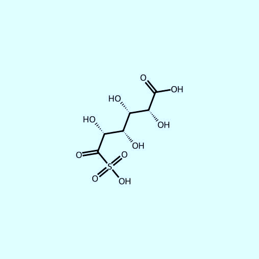 O=C(O)[C@H](O)[C@@H](O)[C@H](O)[C@@H](O)C(=O)S(=O)(=O)O